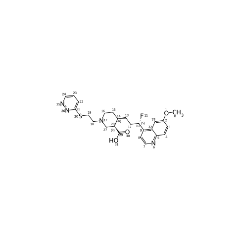 COc1ccc2nccc([C@@H](F)CC[C@@H]3CCN(CCSc4cccnn4)C[C@@H]3C(=O)O)c2c1